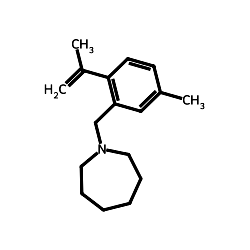 C=C(C)c1ccc(C)cc1CN1CCCCCC1